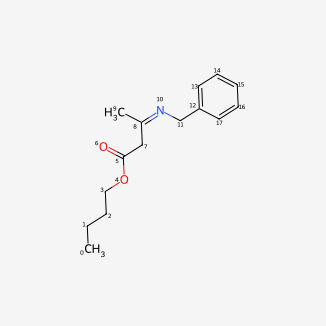 CCCCOC(=O)CC(C)=NCc1ccccc1